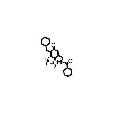 COC1=C(CC2CCCCC2)C(=O)C=C(CNC(=O)C2CCCCC2)C1=O